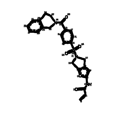 C=CC(=O)Nc1cc2c(o1)CN(S(=O)(=O)c1ccc(C(=O)N3CCc4ccccc4C3)cc1)C2